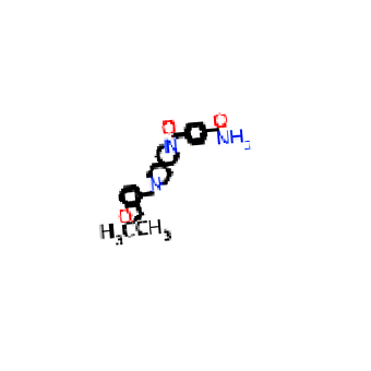 CC1(C)Cc2c(CN3CCC4(CC3)CCN(C(=O)c3ccc(C(N)=O)cc3)CC4)cccc2O1